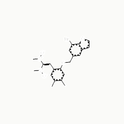 Cc1cc(C=C([S+](C)[O-])[S+](C)[O-])c(OCc2cc(Br)c3occc3c2)cc1C